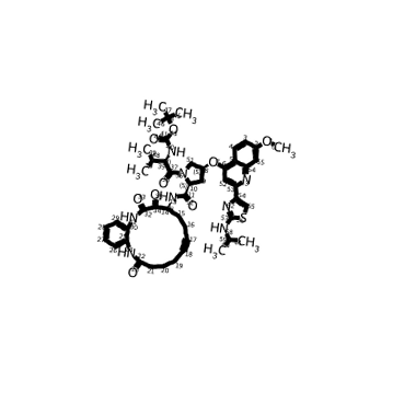 COc1ccc2c(O[C@H]3C[C@@H](C(=O)N[C@@H]4CCC#CCCCC(=O)Nc5ccccc5NC(=O)C4=O)N(C(=O)[C@H](NC(=O)OC(C)(C)C)C(C)C)C3)cc(-c3csc(NC(C)C)n3)nc2c1